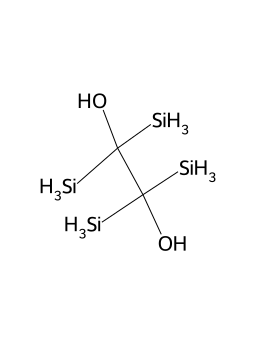 OC([SiH3])([SiH3])C(O)([SiH3])[SiH3]